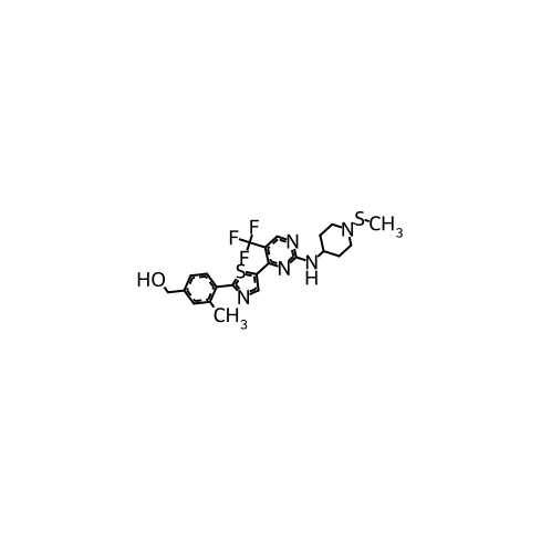 CSN1CCC(Nc2ncc(C(F)(F)F)c(-c3cnc(-c4ccc(CO)cc4C)s3)n2)CC1